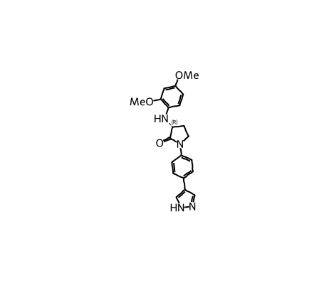 COc1ccc(N[C@@H]2CCN(c3ccc(-c4cn[nH]c4)cc3)C2=O)c(OC)c1